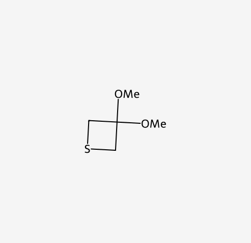 COC1(OC)CSC1